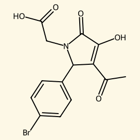 CC(=O)C1=C(O)C(=O)N(CC(=O)O)C1c1ccc(Br)cc1